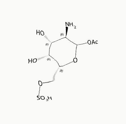 CC(=O)OC1O[C@H](COS(=O)(=O)O)[C@H](O)[C@H](O)[C@H]1N